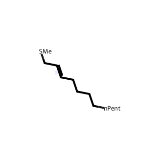 CCCCCCCCC/C=C/CSC